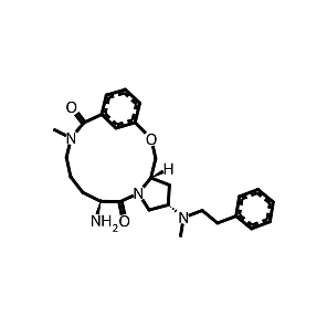 CN1CCC[C@H](N)C(=O)N2C[C@@H](N(C)CCc3ccccc3)C[C@H]2COc2cccc(c2)C1=O